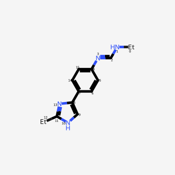 CCN/C=N/c1ccc(-c2c[nH]c(CC)n2)cc1